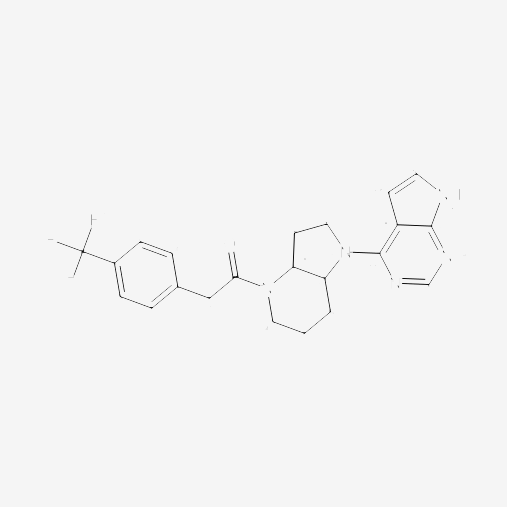 O=C(Cc1ccc(C(F)(F)F)cc1)N1CCCC2C1CCN2c1ncnc2[nH]ccc12